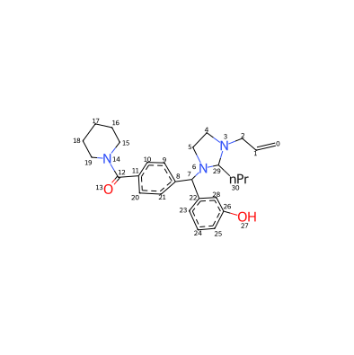 C=CCN1CCN(C(c2ccc(C(=O)N3CCCCC3)cc2)c2cccc(O)c2)C1CCC